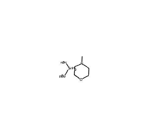 CCC[CH2][SnH2][CH2]CCC.CN1CCOCC1